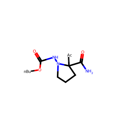 CCCCOC(=O)NN1CCCC1(C(C)=O)C(N)=O